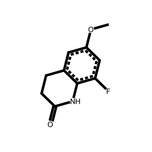 COc1cc(F)c2c(c1)CCC(=O)N2